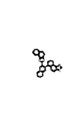 [c]1c(-c2cccc3c2ccc2scnc23)c(-c2nc3c(ccc4ccccc43)s2)cc2ccccc12